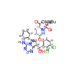 COC(=O)[C@@H](CCCOc1ccc(Cl)c(Cl)c1C(O)c1cnn2c(N(C)c3ccccc3)ncnc12)NC(=O)OC(C)(C)C